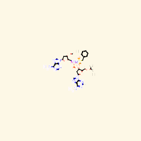 CCO[C@@H]1C[C@H](n2cnc3c(N)ncnc32)OC1COP(=O)(NS(=O)(=O)Cc1ccccc1)O[C@@H]1C[C@H](n2cnc3c(N)ncnc32)OC1COC(C)C